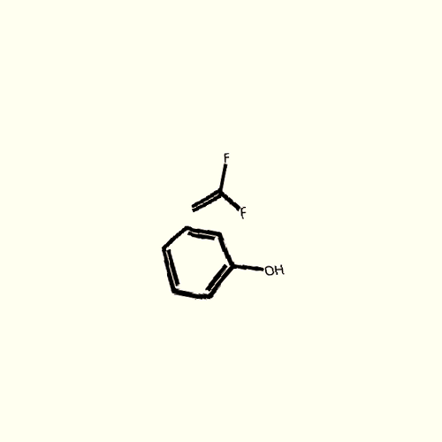 C=C(F)F.Oc1ccccc1